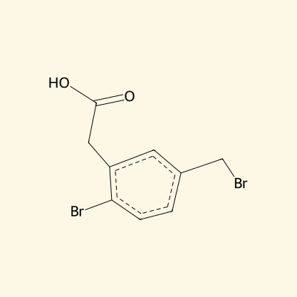 O=C(O)Cc1cc(CBr)ccc1Br